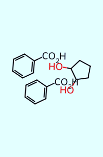 O=C(O)c1ccccc1.O=C(O)c1ccccc1.OC1CCCC1O